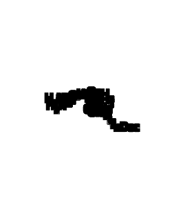 CCCCCCCCCCCCCCCC(=O)OCCCC(OP(=O)(O)O)C(OC(=O)CCCCOc1ccc(N)c(N)c1)[N+](C)(C)C